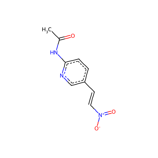 CC(=O)Nc1ccc(C=C[N+](=O)[O-])cn1